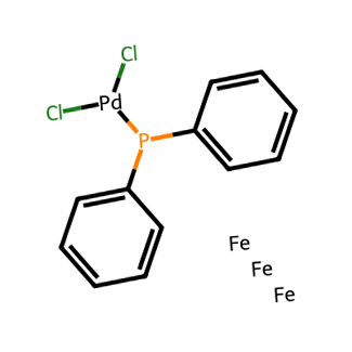 [Cl][Pd]([Cl])[P](c1ccccc1)c1ccccc1.[Fe].[Fe].[Fe]